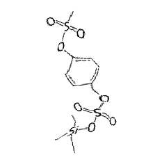 C[Si](C)(C)OS(=O)(=O)Oc1ccc(OS(C)(=O)=O)cc1